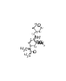 CC(=O)N(C)c1ccc(NCC2CCOCC2)c(N)c1.Cl